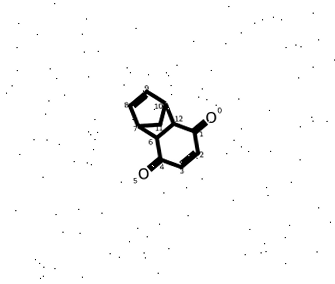 O=C1C=CC(=O)C2C3C=CC(C3)C12